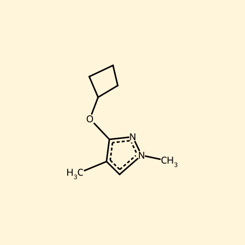 Cc1cn(C)nc1OC1CCC1